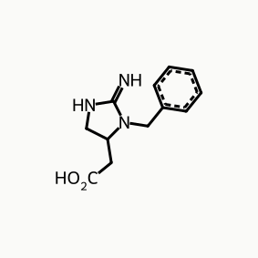 N=C1NCC(CC(=O)O)N1Cc1ccccc1